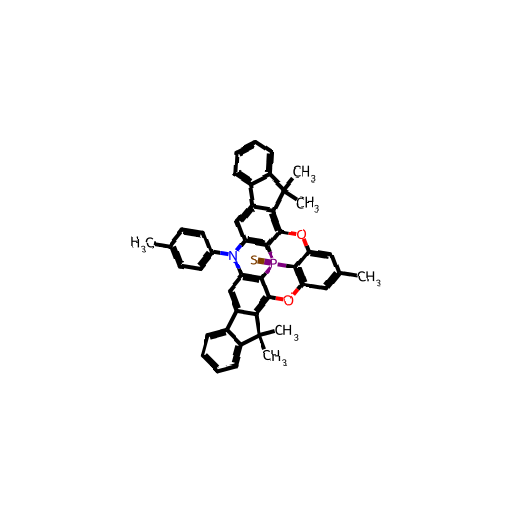 Cc1ccc(N2c3cc4c(c5c3P3(=S)c6c(cc(C)cc6Oc6c7c(cc2c63)-c2ccccc2C7(C)C)O5)C(C)(C)c2ccccc2-4)cc1